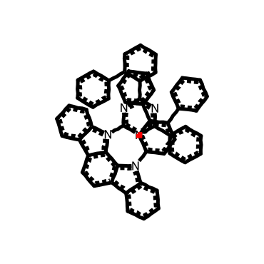 c1ccc(-c2nc(-c3ccccc3-c3ccccc3)nc(-n3c4ccccc4c4ccc5c6ccccc6n(-c6ccc(-c7ccccc7)c(-c7ccccc7)c6)c5c43)n2)cc1